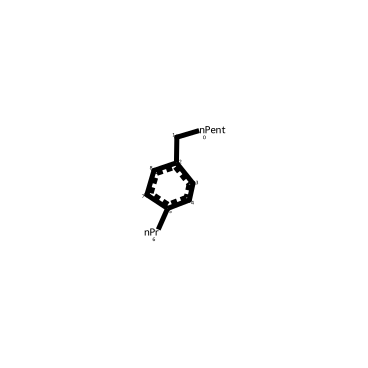 CCCCCCc1ccc(CCC)cc1